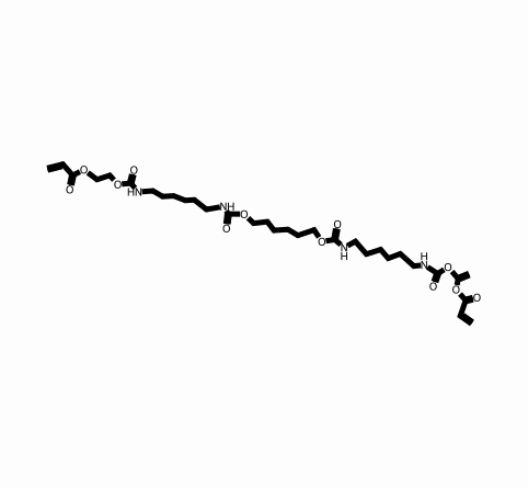 C=CC(=O)OCCOC(=O)NCCCCCCNC(=O)OCCCCCCOC(=O)NCCCCCCNC(=O)OC(=C)OC(=O)C=C